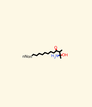 CCCCCCCCCCCCCCCCCC(=O)C(C)C(C)(N)O